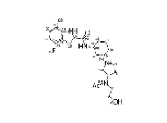 CC(=O)N(CCO)C1CCN([C@H]2CCC[C@@H](NC(=O)C3Cc4c(F)ccc(C)c4N3)C2)C1